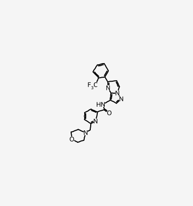 O=C(Nc1cnn2ccc(-c3ccccc3C(F)(F)F)nc12)c1cccc(CN2CCOCC2)n1